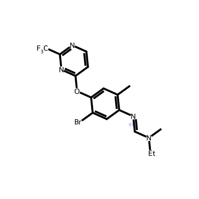 CCN(C)/C=N/c1cc(Br)c(Oc2ccnc(C(F)(F)F)n2)cc1C